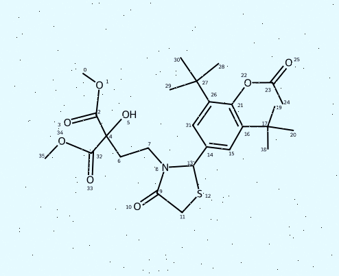 COC(=O)C(O)(CCN1C(=O)CSC1c1cc(C(C)(C)C)c(OC(C)=O)c(C(C)(C)C)c1)C(=O)OC